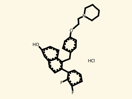 Cl.Oc1ccc2c(Cc3ccc(OCCN4CCCCC4)cc3)c(-c3cccc(F)c3F)ccc2c1